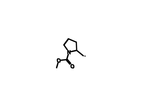 [CH2]C1CCCN1C(=O)OC